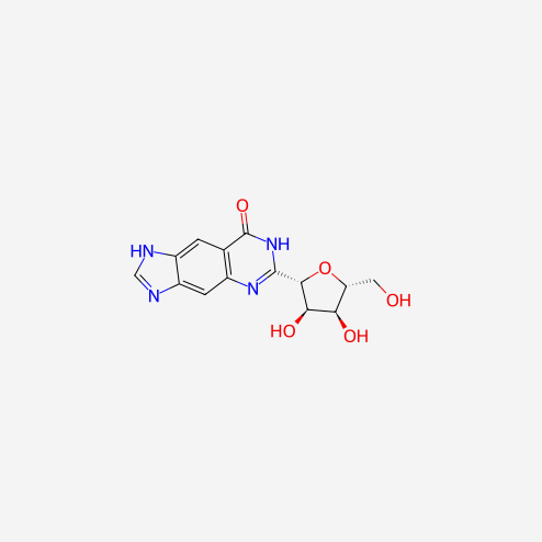 O=c1[nH]c([C@@H]2O[C@H](CO)[C@@H](O)[C@H]2O)nc2cc3nc[nH]c3cc12